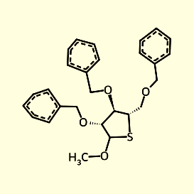 COC1S[C@@H](COCc2ccccc2)[C@H](OCc2ccccc2)[C@H]1OCc1ccccc1